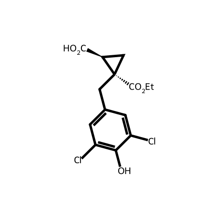 CCOC(=O)[C@@]1(Cc2cc(Cl)c(O)c(Cl)c2)C[C@@H]1C(=O)O